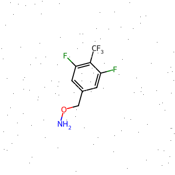 NOCc1cc(F)c(C(F)(F)F)c(F)c1